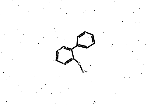 CC[CH]Oc1ccccc1-c1ccccc1